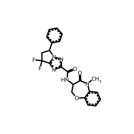 CN1C(=O)C(NC(=O)c2nc3n(n2)C(c2ccccc2)CC3(F)F)COc2ccccc21